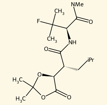 CNC(=O)[C@@H](NC(=O)[C@H](CC(C)C)[C@@H]1OC(C)(C)OC1=O)C(C)(C)F